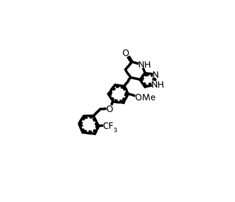 COc1cc(OCc2ccccc2C(F)(F)F)ccc1C1CC(=O)Nc2n[nH]cc21